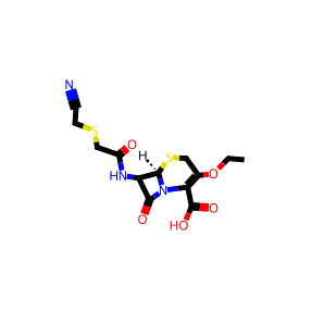 CCOC1=C(C(=O)O)N2C(=O)C(NC(=O)CSCC#N)[C@H]2SC1